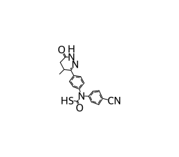 CC1CC(=O)NN=C1c1ccc(N(C(=O)S)c2ccc(C#N)cc2)cc1